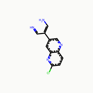 N=C/C(=C\N)c1cnc2ccc(Cl)nc2c1